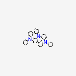 c1ccc(N(c2cccc3c2c2ccccc2n3-c2ccccc2)c2cccc3c2c2ccccc2n3-c2ccccc2)cc1